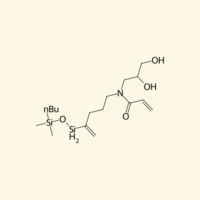 C=CC(=O)N(CCCC(=C)[SiH2]O[Si](C)(C)CCCC)CC(O)CO